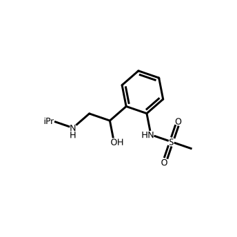 CC(C)NCC(O)c1ccccc1NS(C)(=O)=O